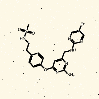 CCc1cnc(NCc2cc(Oc3ccc(CCNS(C)(=O)=O)cc3)nc(N)n2)nc1